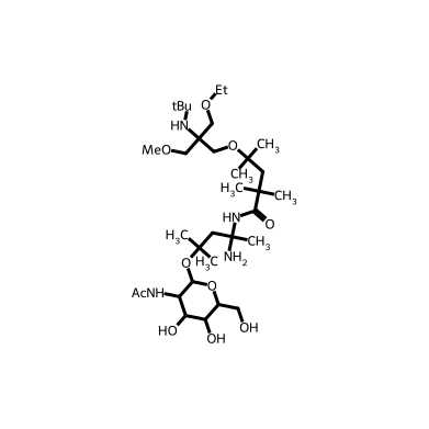 CCOCC(COC)(COC(C)(C)CC(C)(C)C(=O)NC(C)(N)CC(C)(C)OC1OC(CO)C(O)C(O)C1NC(C)=O)NC(C)(C)C